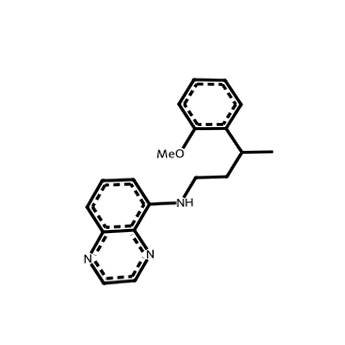 COc1ccccc1C(C)CCNc1cccc2nccnc12